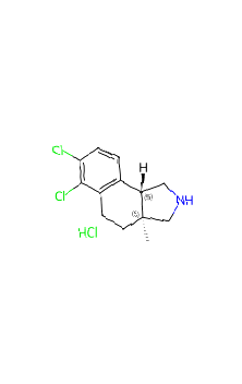 C[C@]12CCc3c(ccc(Cl)c3Cl)[C@@H]1CNC2.Cl